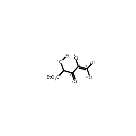 CCOC(=O)C(OCC)C(=O)C(Cl)=C(Cl)Cl